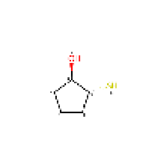 O[C@@H]1CCC[C@H]1S